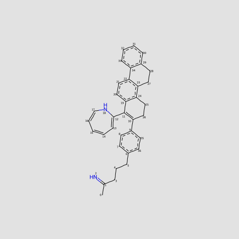 CC(=N)CCCc1ccc(C2=C(C3=CC=CC=CN3)c3ccc4c(c3CC2)CCc2ccccc2-4)cc1